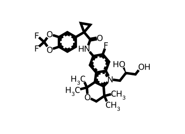 CC1(C)COC(C)(C)c2c1n(C[C@@H](O)CO)c1cc(F)c(NC(=O)C3(c4ccc5c(c4)OC(F)(F)O5)CC3)cc21